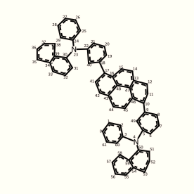 c1ccc(N(c2cccc(-c3ccc4ccc5c(-c6cccc(N(c7ccccc7)c7cccc8ccccc78)c6)ccc6ccc3c4c65)c2)c2cccc3ccccc23)cc1